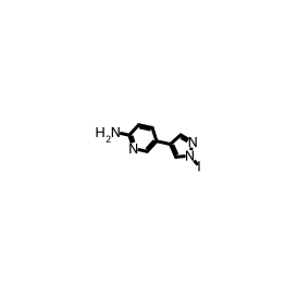 Nc1ccc(-c2cnn(I)c2)cn1